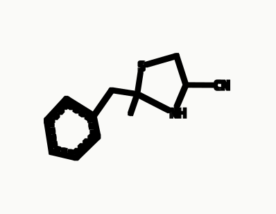 CC1(Cc2ccccc2)NC(C#N)CS1